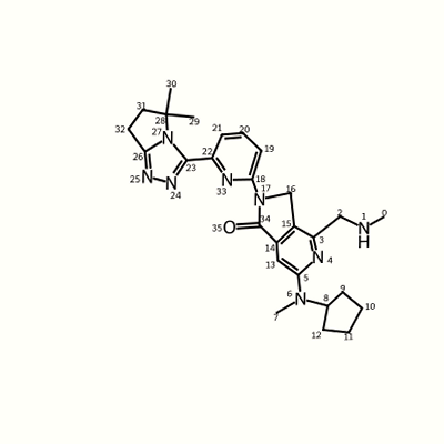 CNCc1nc(N(C)C2CCCC2)cc2c1CN(c1cccc(-c3nnc4n3C(C)(C)CC4)n1)C2=O